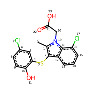 Cc1c(Sc2cc(Cl)ccc2O)c2cccc(Cl)c2n1CC(=O)O